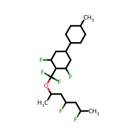 CC(F)CC(F)CC(C)OC(F)(F)C1C(F)CC(C2CCC(C)CC2)CC1F